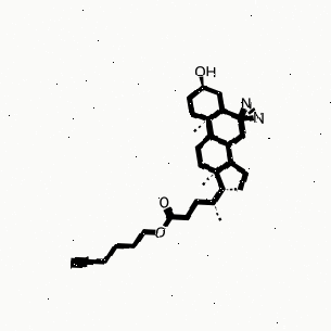 C#CCCCCOC(=O)CC[C@@H](C)[C@H]1CCC2C3CC4(N=N4)C4C[C@H](O)CC[C@]4(C)C3CC[C@@]21C